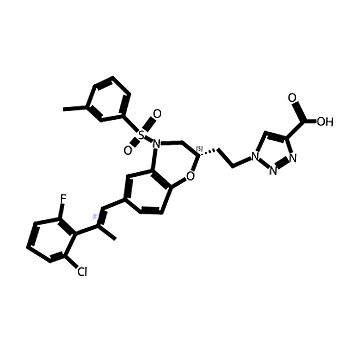 C/C(=C\c1ccc2c(c1)N(S(=O)(=O)c1cccc(C)c1)C[C@H](CCn1cc(C(=O)O)nn1)O2)c1c(F)cccc1Cl